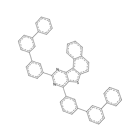 c1ccc(-c2cccc(-c3cccc(-c4nc(-c5cccc(-c6cccc(-c7ccccc7)c6)c5)c5sc6ccc7ccccc7c6c5n4)c3)c2)cc1